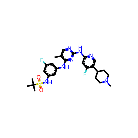 Cc1cnc(Nc2cc(F)c(C3CCN(C)CC3)cn2)nc1Nc1cc(F)cc(NS(=O)(=O)C(C)(C)C)c1